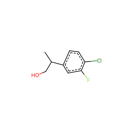 [CH2]C(CO)c1ccc(Cl)c(F)c1